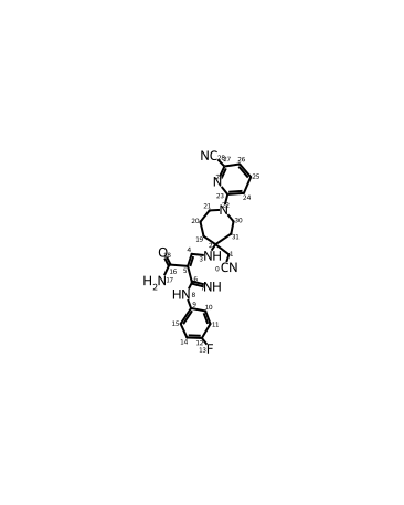 N#CCC1(N/C=C(\C(=N)Nc2ccc(F)cc2)C(N)=O)CCCN(c2cccc(C#N)n2)CC1